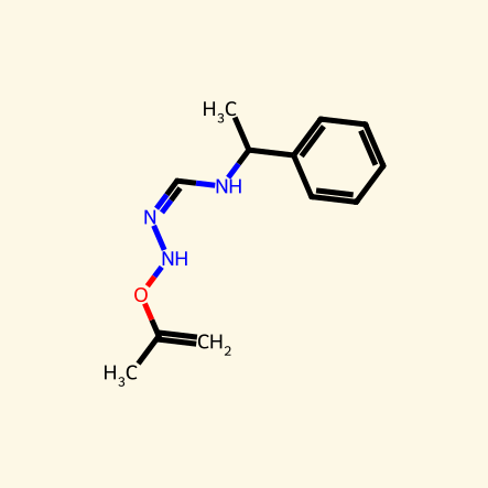 C=C(C)ON/N=C\NC(C)c1ccccc1